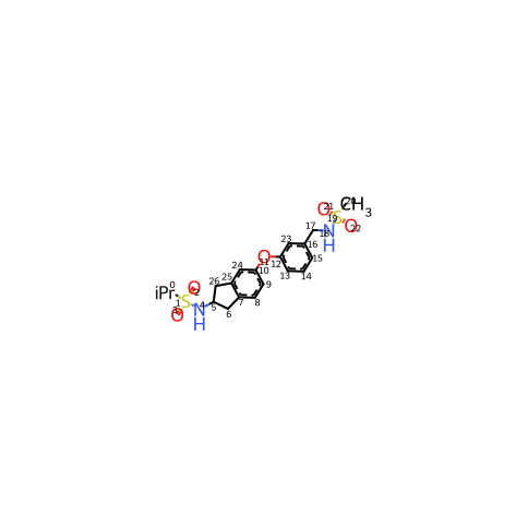 CC(C)S(=O)(=O)NC1Cc2ccc(Oc3cccc(CNS(C)(=O)=O)c3)cc2C1